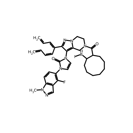 C=C/C=C\C(=C/C=C)c1nn2c(c1-n1ccn(-c3ccc4c(cnn4C)c3F)c1=O)CN(C(=O)C1CCCCCCCC1BI)CC2